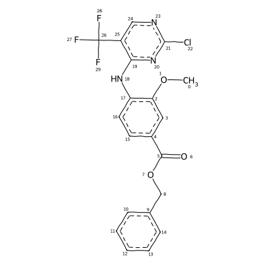 COc1cc(C(=O)OCc2ccccc2)ccc1Nc1nc(Cl)ncc1C(F)(F)F